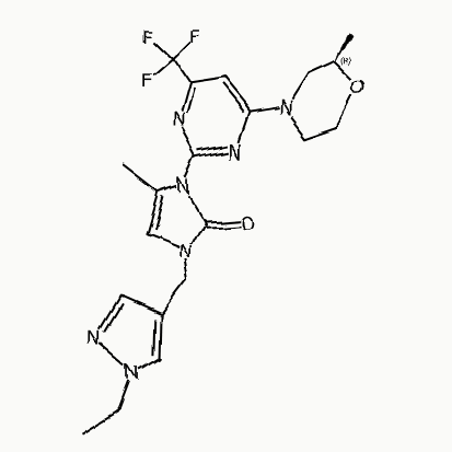 CCn1cc(Cn2cc(C)n(-c3nc(N4CCO[C@H](C)C4)cc(C(F)(F)F)n3)c2=O)cn1